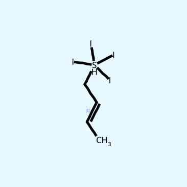 C/C=C/C[SH](I)(I)(I)I